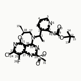 CC(c1cccnc1NC(=O)OC(C)(C)C)N1C[C@H](C)Oc2nc(Cl)c(F)c3nc(S(C)(=O)=O)nc1c23